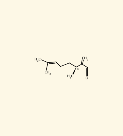 C=C(C=O)[C@@H](C)CCC=C(C)C